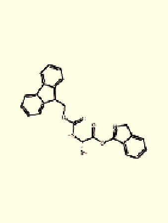 CC(C)[C@H](NC(=O)OCC1c2ccccc2-c2ccccc21)C(=O)OC1=NCc2ccccc21